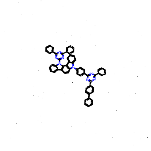 c1ccc(-c2ccc(-c3nc(-c4ccccc4)nc(-c4ccc(-n5c6ccccc6c6c5ccc5c7ccccc7n(-c7nc(-c8ccccc8)nc(-c8ccccc8)n7)c56)cc4)n3)cc2)cc1